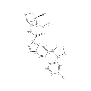 NC[C@H]1[C@H]2CCC(C2)[C@H]1NC(=O)c1cnn2ccc(N3CCCC3c3cncc(F)c3)nc12